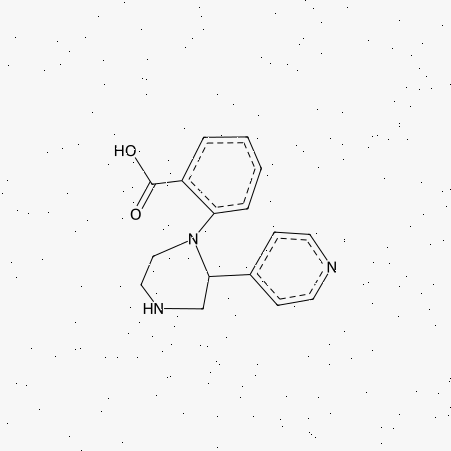 O=C(O)c1ccccc1N1CCNCC1c1ccncc1